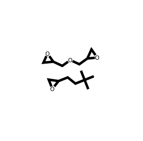 C(OCC1CO1)C1CO1.CC(C)(C)CCC1CO1